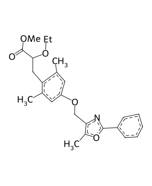 CCOC(Cc1c(C)cc(OCc2nc(-c3ccccc3)oc2C)cc1C)C(=O)OC